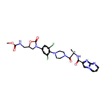 COC(=O)NCC1CN(c2cc(F)c(N3CCN(C(=O)[C@@H](C)NC(=O)c4cn5cccnc5n4)CC3)c(F)c2)C(=O)O1